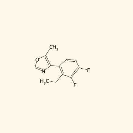 CCc1c(-c2ncoc2C)ccc(F)c1F